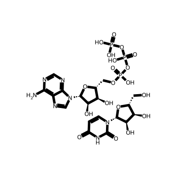 Nc1ncnc2c1ncn2[C@@H]1O[C@H](COP(=O)(O)OP(=O)(O)OP(=O)(O)O)[C@@H](O)[C@H]1O.O=c1ccn([C@@H]2O[C@H](CO)[C@@H](O)[C@H]2O)c(=O)[nH]1